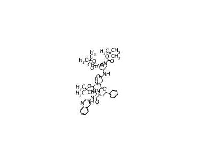 CC(C)(C)OC(=O)NCC(CNC(=O)OC(C)(C)C)NC(=O)C[C@H](NC(=O)OC(C)(C)C)C(=O)N[C@H](CCc1ccccc1)C(=O)Nc1cnc2ccccc2c1